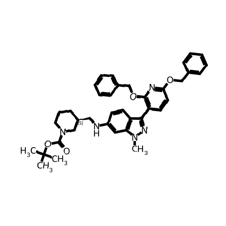 Cn1nc(-c2ccc(OCc3ccccc3)nc2OCc2ccccc2)c2ccc(NC[C@@H]3CCCN(C(=O)OC(C)(C)C)C3)cc21